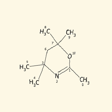 CC1=NC(C)(C)CC(C)(C)O1